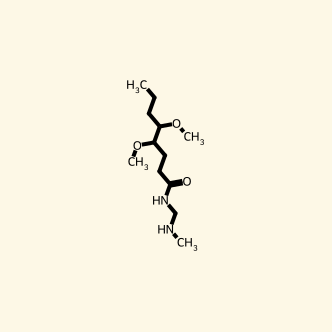 CCCC(OC)C(CCC(=O)NCNC)OC